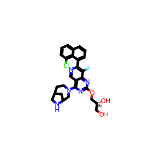 OC[C@@H](O)COc1nc(N2CCC3CNC(C3)C2)c2cnc(-c3cccc4cccc(Cl)c34)c(F)c2n1